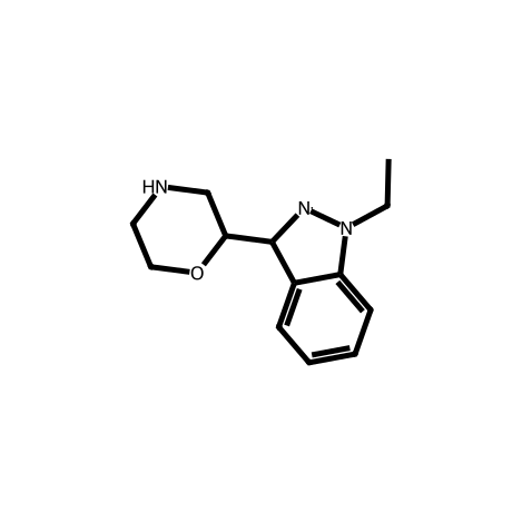 CCN1[N]C(C2CNCCO2)c2ccccc21